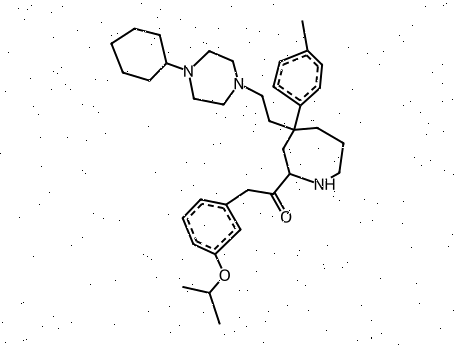 Cc1ccc(C2(CCN3CCN(C4CCCCC4)CC3)CCCNC(C(=O)Cc3cccc(OC(C)C)c3)C2)cc1